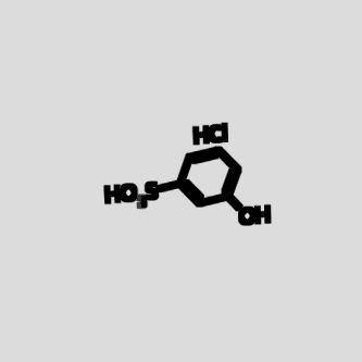 Cl.O=S(=O)(O)c1cccc(O)c1